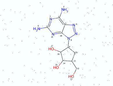 Nc1nc(N)c2nnn(C3CC(CO)C(O)C3O)c2n1